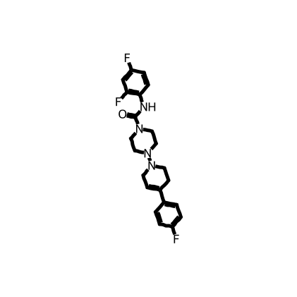 O=C(Nc1ccc(F)cc1F)N1CCN(N2CC=C(c3ccc(F)cc3)CC2)CC1